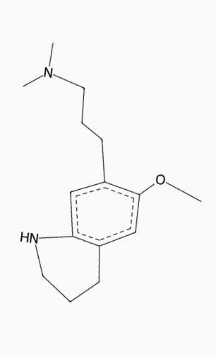 COc1cc2c(cc1CCCN(C)C)NCCC2